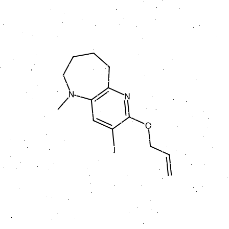 C=CCOc1nc2c(cc1I)N(C)CCCC2